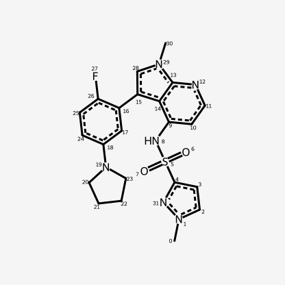 Cn1ccc(S(=O)(=O)Nc2ccnc3c2c(-c2cc(N4CCCC4)ccc2F)cn3C)n1